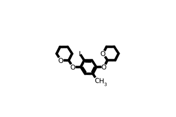 Cc1cc(OC2CCCCO2)c(I)cc1OC1CCCCO1